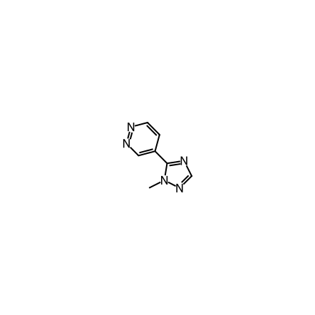 Cn1ncnc1-c1ccnnc1